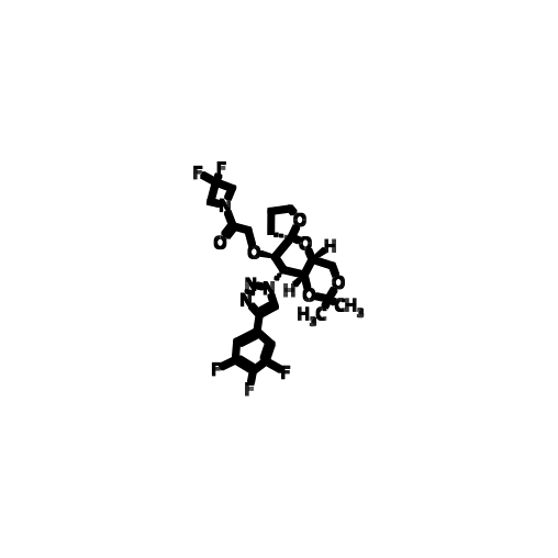 CC1(C)OC[C@H]2O[C@@]3(CCCO3)[C@H](OCC(=O)N3CC(F)(F)C3)[C@@H](n3cc(-c4cc(F)c(F)c(F)c4)nn3)[C@H]2O1